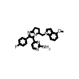 COc1cccc2c1ccn2CC1CCc2nc(-c3ccc(F)cc3)c(-c3ccnc(N)n3)n21